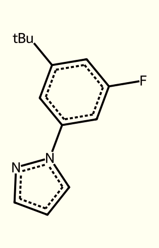 CC(C)(C)c1cc(F)cc(-n2cccn2)c1